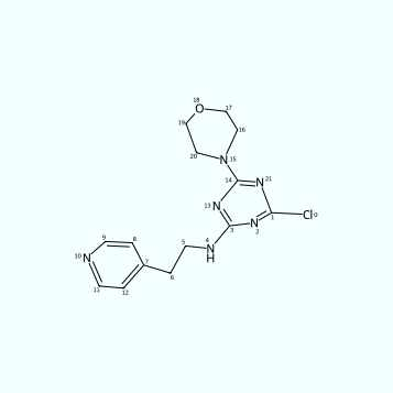 Clc1nc(NCCc2ccncc2)nc(N2CCOCC2)n1